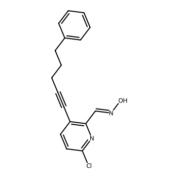 ON=Cc1nc(Cl)ccc1C#CCCCc1ccccc1